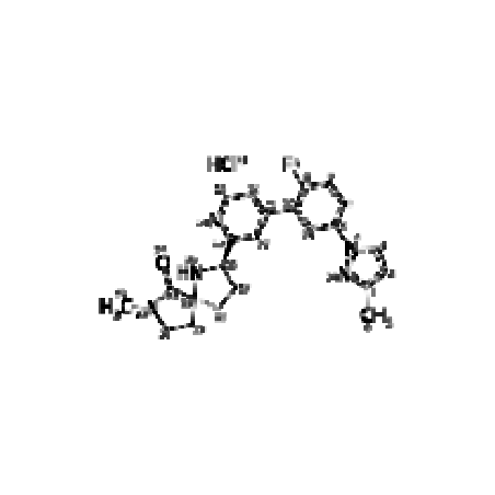 Cc1ccn(-c2ccc(F)c(-c3ccnc([C@H]4CC[C@@]5(CCN(C)C5=O)N4)c3)c2)n1.Cl